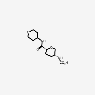 O=C(O)N[C@@H]1CC[C@@H](C(=O)NC2CCOCC2)OC1